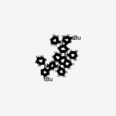 CC(C)(C)c1ccc2c(c1)c1cc(N(c3ccccc3)c3c4ccccc4c(N(c4ccccc4)c4ccc5c(c4)c4cc(C(C)(C)C)ccc4n5-c4ccccc4)c4ccccc34)ccc1n2-c1ccccc1